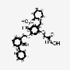 O=C(COc1cc(OCc2cccc(-c3ccccc3)c2Br)c(Cl)cc1CN1CCCCC1C(=O)O)NO